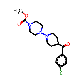 COC(=O)N1CCN(N2CCC(C(=O)c3ccc(Cl)cc3)CC2)CC1